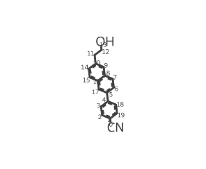 N#Cc1ccc(-c2ccc3cc(CCO)ccc3c2)cc1